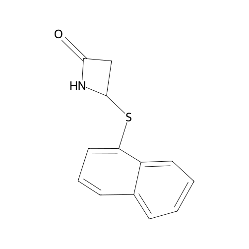 O=C1CC(Sc2cccc3ccccc23)N1